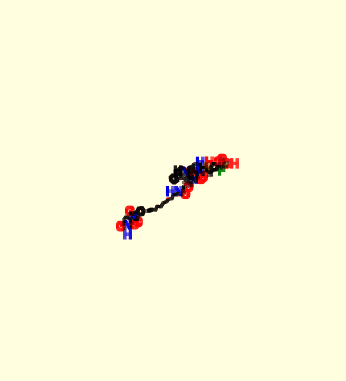 CC(C)(C)C(NC(=O)c1cc2cc(C(F)(F)P(=O)(O)O)ccc2s1)C(=O)N1C[C@@H](OCC(=O)NCCCCCCCCCC#Cc2ccc3c(c2)C(=O)N(C2CCC(=O)NC2=O)C3=O)C[C@H]1C(=O)N1CCC[C@H](c2ccccc2)C1